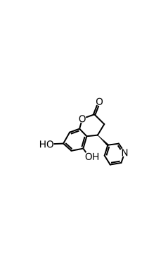 O=C1C[C@@H](c2cccnc2)c2c(O)cc(O)cc2O1